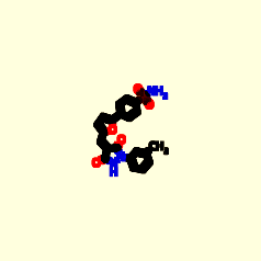 Cc1cccc(N2NC(=O)C(=Cc3ccc(-c4ccc(S(N)(=O)=O)cc4)o3)C2=O)c1